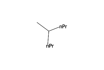 CCCC(C)CCC